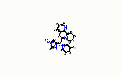 Cc1cccnc1[C@H]1CCC[C@@H](c2ncccc2C)N1CCc1cn(C)cn1